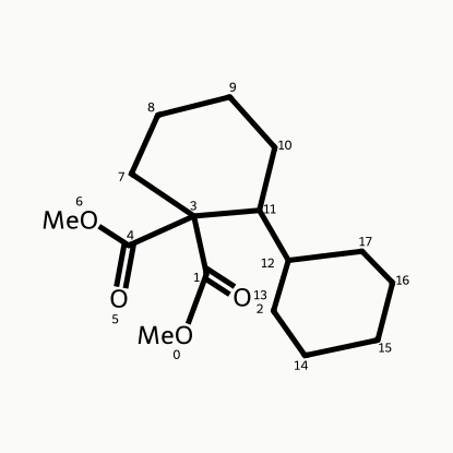 COC(=O)C1(C(=O)OC)CCCCC1C1CCCCC1